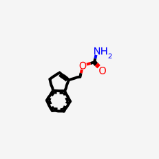 NC(=O)OCC1=CCc2ccccc21